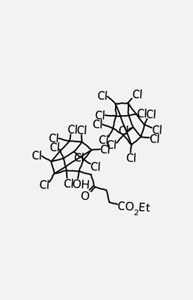 CCOC(=O)CCC(=O)CC1(O)C2(Cl)C3(Cl)C4(Cl)C(Cl)(Cl)C5(Cl)C3(Cl)C1(Cl)C5(Cl)C42Cl.ClC1(Cl)C2(Cl)C3(Cl)C4(Cl)C(Cl)(Cl)C5(Cl)C3(Cl)C1(Cl)C5(Cl)C24Cl